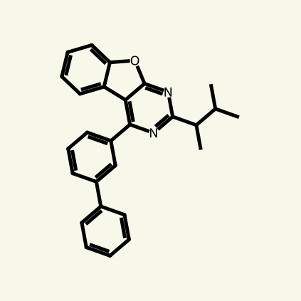 CC(C)C(C)c1nc(-c2cccc(-c3ccccc3)c2)c2c(n1)oc1ccccc12